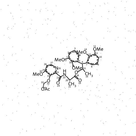 COc1cccc(C(c2cccc(OC)c2OC)C(C)OC(=O)[C@H](C)NC(=O)c2nccc(OC)c2OCOC(C)=O)c1OC